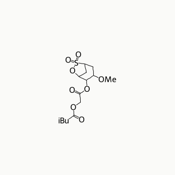 CCC(C)C(=O)OCC(=O)OC1C(OC)CC2CC1OS2(=O)=O